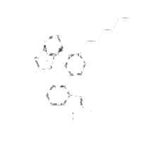 CC1=C2c3sccc3C1[Si]2(C)C.CCCCCCc1ccc(-c2cccc3c2C=C(C)[CH]3[Zr+2])cc1.[Cl-].[Cl-]